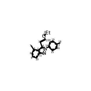 CCOC=Cc1c2c(C)cccc2nn1-c1ccc(C)cc1